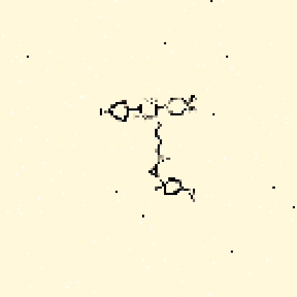 COC1=CCC(C)([C@@H]2CC2NCCCC[C@H](NC(=O)c2ccc(F)cc2)C(=O)N2CCS(=O)(=O)CC2)C=C1